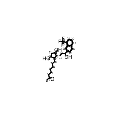 CC(=O)CCCCCC[C@@H]1[C@@H](CCC(O)c2ccc3cccc(C(F)(F)F)c3c2)[C@H](O)C[C@@H]1O